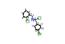 Cl/C(=N\Cc1ccccc1Cl)c1ccc(Br)cc1